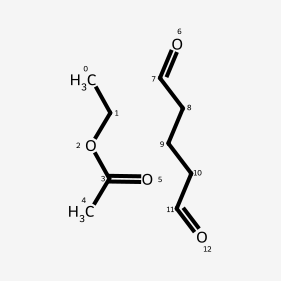 CCOC(C)=O.O=CCCCC=O